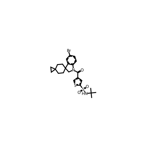 CC(C)(C)NS(=O)(=O)c1cc(C(=O)N2CC3(CCC4(CC4)CC3)c3cc(Br)ccc32)cs1